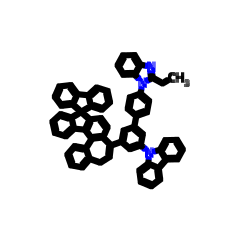 CCc1nc2ccccc2n1-c1ccc(-c2cc(C3=CCc4ccccc4-c4c3ccc3c4-c4ccccc4C34c3ccccc3-c3ccccc34)cc(-n3c4ccccc4c4ccccc43)c2)cc1